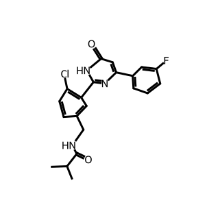 CC(C)C(=O)NCc1ccc(Cl)c(-c2nc(-c3cccc(F)c3)cc(=O)[nH]2)c1